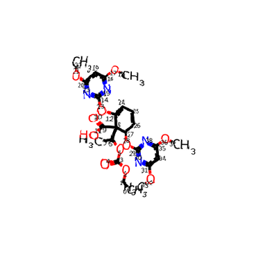 CCOC(=O)OC(C)C1(C(=O)O)C(Oc2nc(OC)cc(OC)n2)=CC=CC1Oc1nc(OC)cc(OC)n1